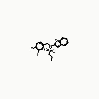 CCCS(=O)(=O)N(Cc1ccc(F)c(F)c1)c1cc2ccccc2s1